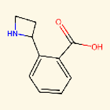 O=C(O)c1ccccc1C1CCN1